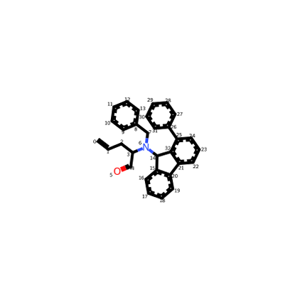 C=CCC([C]=O)N(Cc1ccccc1)C1c2ccccc2-c2cccc(-c3ccccc3)c21